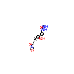 CNC(=O)NCc1cccc(-c2ccc(C(C)(C)CCCCC(=O)N3CCOCC3)cc2O)c1